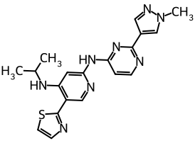 CC(C)Nc1cc(Nc2ccnc(-c3cnn(C)c3)n2)ncc1-c1nccs1